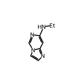 CCNc1cc2nccn2cn1